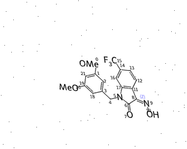 COc1cc(CN2C(=O)/C(=N\O)c3ccc(C(F)(F)F)cc32)cc(OC)c1